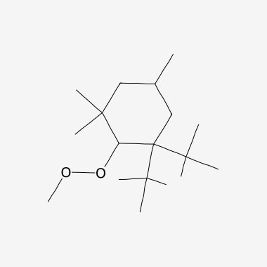 COOC1C(C)(C)CC(C)CC1(C(C)(C)C)C(C)(C)C